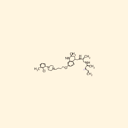 C=C/C=C\C(=C)NCC(=C)NCC1CC(=C)Nc2cc(OCCCCN3CCN(c4cccc(C)c4Cl)CC3)ccc21